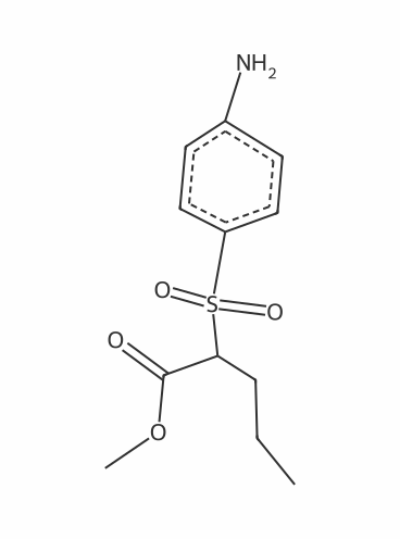 CCCC(C(=O)OC)S(=O)(=O)c1ccc(N)cc1